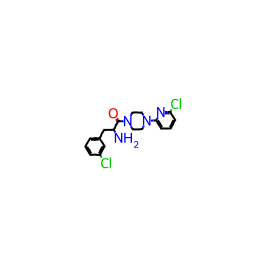 NC(Cc1cccc(Cl)c1)C(=O)N1CCN(c2cccc(Cl)n2)CC1